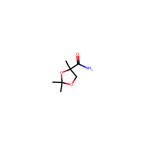 CC1(C)OCC(C)(C(N)=O)O1